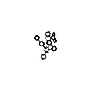 c1ccc(-c2ccc(-c3nc(-c4ccccc4)nc(-c4ccccc4-c4ccc5c(c4)C4(c6ccccc6S5)c5ccccc5-c5ccccc54)n3)cc2)cc1